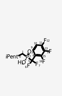 CCCC(C)CP(=O)(O)C(F)(F)c1ccc(F)c(F)c1F